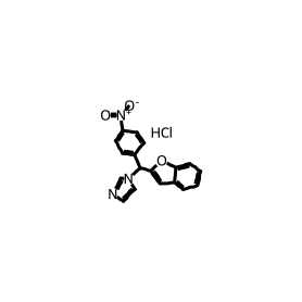 Cl.O=[N+]([O-])c1ccc(C(c2cc3ccccc3o2)n2ccnc2)cc1